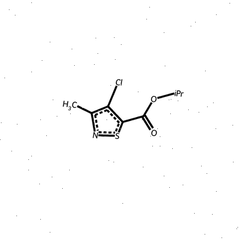 Cc1nsc(C(=O)OC(C)C)c1Cl